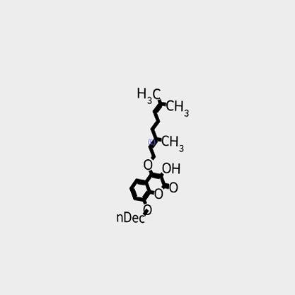 CCCCCCCCCCOc1cccc2c(OC/C=C(\C)CCC=C(C)C)c(O)c(=O)oc12